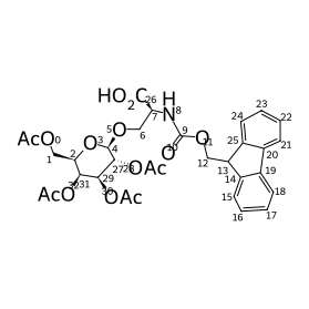 CC(=O)OC[C@H]1O[C@@H](OC[C@H](NC(=O)OCC2c3ccccc3-c3ccccc32)C(=O)O)[C@H](OC(C)=O)[C@@H](OC(C)=O)[C@H]1OC(C)=O